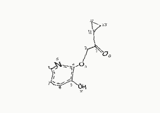 O=C(COc1ncccc1O)C1CC1